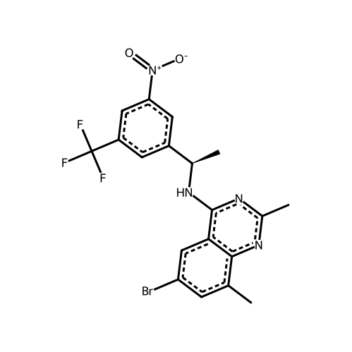 Cc1nc(N[C@H](C)c2cc([N+](=O)[O-])cc(C(F)(F)F)c2)c2cc(Br)cc(C)c2n1